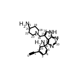 C#CC1=CC=CC(N)(c2ncnc3[nH]cc(CN4CCC(N)CC4)c23)C1